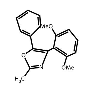 COc1cccc(OC)c1-c1nc(C)oc1-c1ccccc1